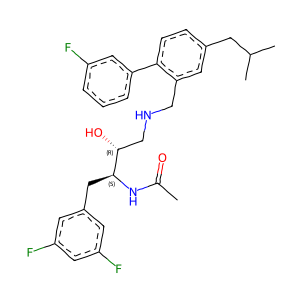 CC(=O)N[C@@H](Cc1cc(F)cc(F)c1)[C@H](O)CNCc1cc(CC(C)C)ccc1-c1cccc(F)c1